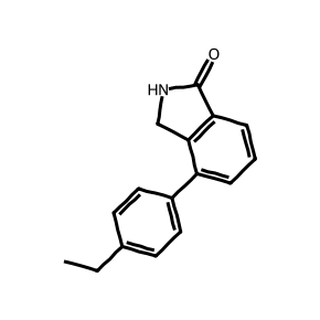 CCc1ccc(-c2cccc3c2CNC3=O)cc1